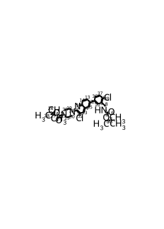 CC(C)(C)OC(=O)NCc1cc(-c2ccc3nc(N4CCN(C(=O)OC(C)(C)C)CC4)c(Cl)cc3c2)ccc1Cl